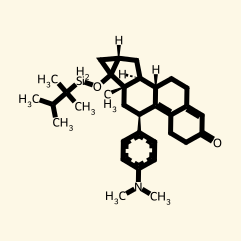 CC(C)C(C)(C)[SiH2]OC12C[C@@H]1C[C@H]1[C@@H]3CCC4=CC(=O)CCC4=C3[C@@H](c3ccc(N(C)C)cc3)C[C@@]12C